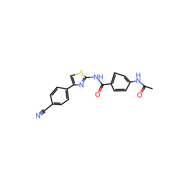 CC(=O)Nc1ccc(C(=O)Nc2nc(-c3ccc(C#N)cc3)cs2)cc1